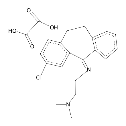 CN(C)CC/N=C1/c2ccccc2CCc2ccc(Cl)cc21.O=C(O)C(=O)O